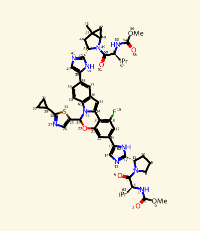 COC(=O)N[C@H](C(=O)N1CCC[C@H]1c1ncc(-c2cc(F)c3c(c2)OC(c2cnc(C4CC4)s2)n2c-3cc3cc(-c4cnc([C@@H]5CC6(C)CC6N5C(=O)[C@@H](NC(=O)OC)C(C)C)[nH]4)ccc32)[nH]1)C(C)C